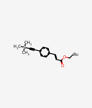 CCC(C)COC(=O)C=Cc1ccc(C#C[Si](C)(C)C)cc1